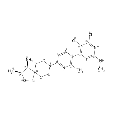 CNc1cc(-c2n[c]c(N3CCC4(CC3)CO[C@@H](C)[C@H]4N)nc2C)c(Cl)c(Cl)n1